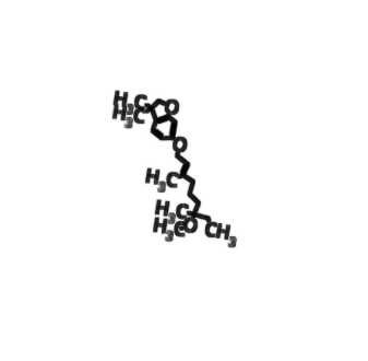 CCC(C)(CCC/C(C)=C/COc1ccc2c(c1)OCC2(C)C)OC